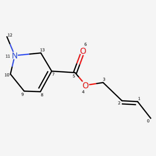 CC=CCOC(=O)C1=CCCN(C)C1